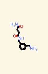 NCc1cccc(CNC(=O)CCC(N)=O)c1